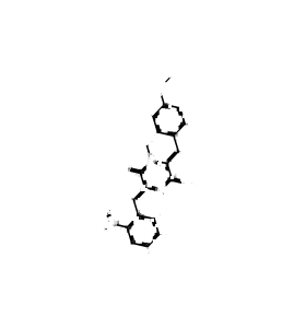 COc1ccc(/C=c2/c(=O)[nH]/c(=C\c3ccccc3[N+](=O)[O-])c(=O)n2C)cc1